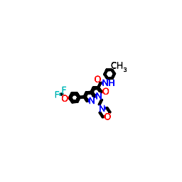 CC1CCC(NC(=O)c2cc3cc(-c4ccc(OC(F)F)cc4)cnc3n(CCN3CCOCC3)c2=O)CC1